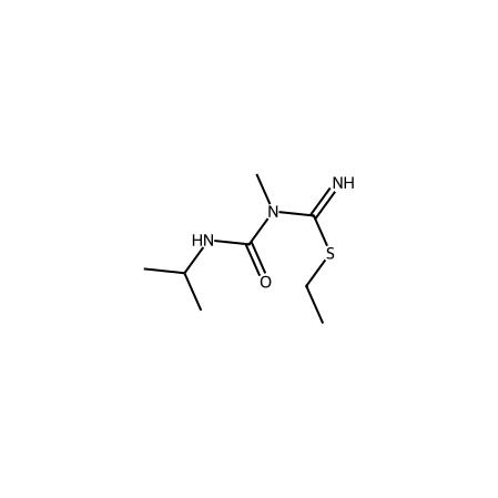 CCSC(=N)N(C)C(=O)NC(C)C